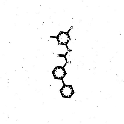 Cc1cc(Cl)nc(NC(=O)Nc2cccc(-c3ccccc3)c2)n1